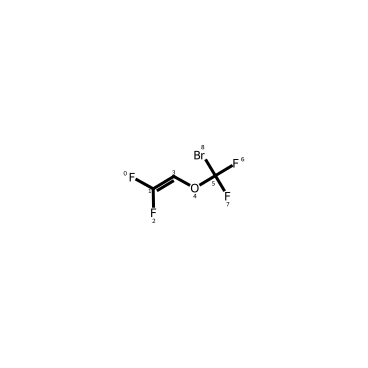 FC(F)=COC(F)(F)Br